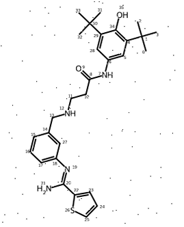 CC(C)(C)c1cc(NC(=O)CCNCc2cccc(/N=C(\N)c3cccs3)c2)cc(C(C)(C)C)c1O